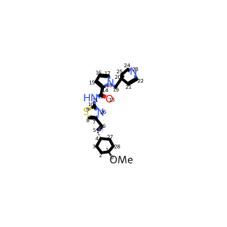 CO[C@H]1CC[C@H](/C=C/c2csc(NC(=O)c3cccn3Cc3ccncc3)n2)CC1